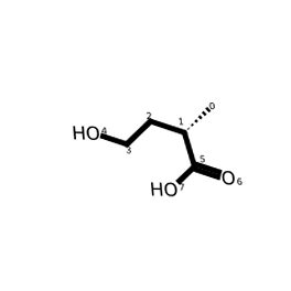 C[C@@H](CCO)C(=O)O